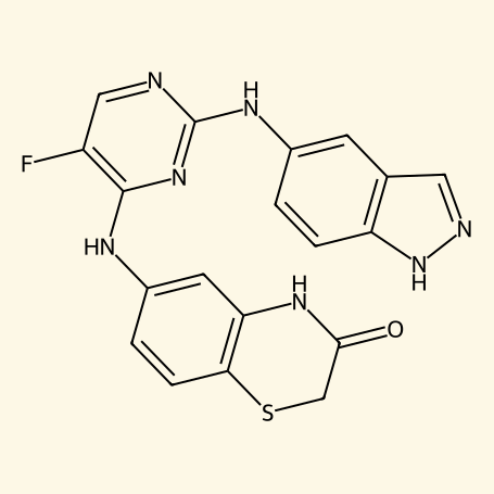 O=C1CSc2ccc(Nc3nc(Nc4ccc5[nH]ncc5c4)ncc3F)cc2N1